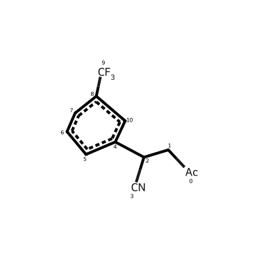 CC(=O)CC(C#N)c1cccc(C(F)(F)F)c1